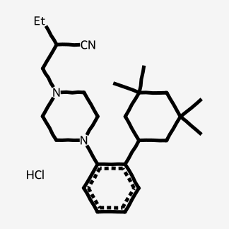 CCC(C#N)CN1CCN(c2ccccc2C2CC(C)(C)CC(C)(C)C2)CC1.Cl